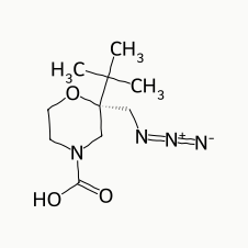 CC(C)(C)[C@@]1(CN=[N+]=[N-])CN(C(=O)O)CCO1